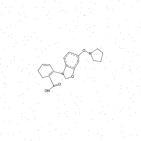 O=NC(=O)C1=C(N2COc3cc(ON4CCCC4)ccc32)C=CCC1